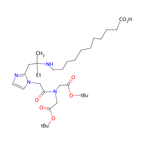 CCC(C)(Cc1nccn1CC(=O)N(CC(=O)OC(C)(C)C)CC(=O)OC(C)(C)C)NCCCCCCCCCCC(=O)O